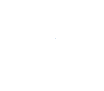 [BaH2].[O-2].[O-2].[Si].[Ti+4]